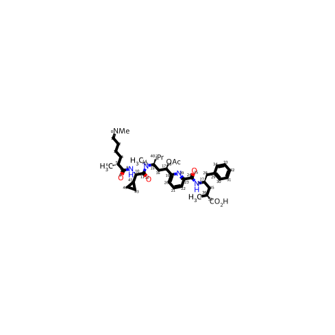 CNCCCC[C@@H](C)C(=O)N[C@H](C(=O)N(C)[C@H](C[C@@H](OC(C)=O)c1cccc(C(=O)N[C@@H](Cc2ccccc2)C[C@H](C)C(=O)O)n1)C(C)C)C1CC1